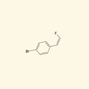 F/C=C\c1ccc(Br)cc1